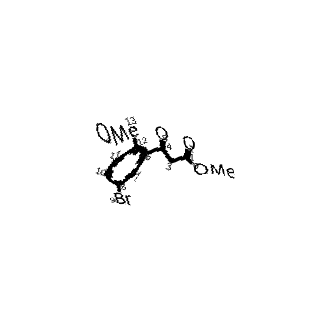 COC(=O)CC(=O)c1cc(Br)ccc1OC